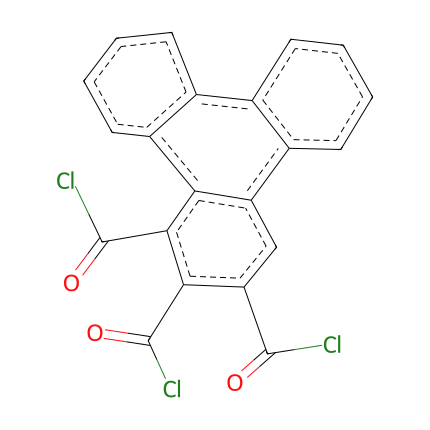 O=C(Cl)c1cc2c3ccccc3c3ccccc3c2c(C(=O)Cl)c1C(=O)Cl